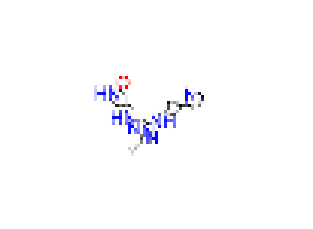 O=C1CC(CNc2cc(NCc3ccc(-c4ccccn4)cc3)n3ncc(C4CC4)c3n2)CCN1